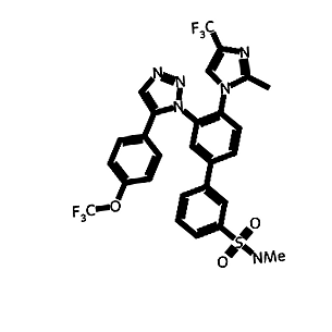 CNS(=O)(=O)c1cccc(-c2ccc(-n3cc(C(F)(F)F)nc3C)c(-n3nncc3-c3ccc(OC(F)(F)F)cc3)c2)c1